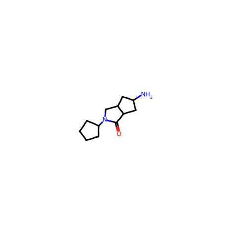 NC1CC2CN(C3CCCC3)C(=O)C2C1